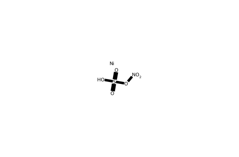 O=[N+]([O-])OS(=O)(=O)O.[Ni]